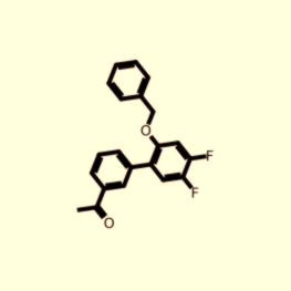 CC(=O)c1cccc(-c2cc(F)c(F)cc2OCc2ccccc2)c1